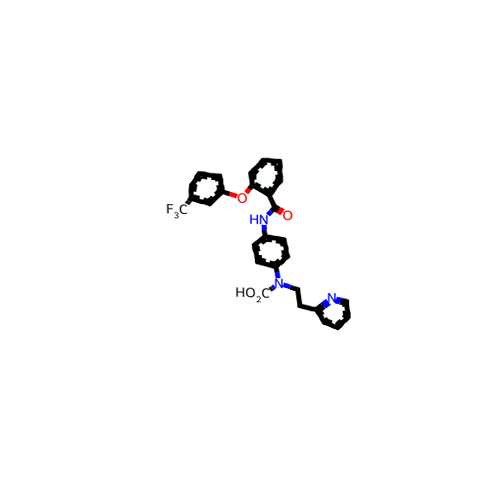 O=C(Nc1ccc(N(CCc2ccccn2)C(=O)O)cc1)c1ccccc1Oc1cccc(C(F)(F)F)c1